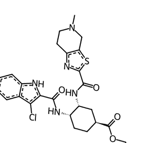 CCOC(=O)[C@H]1CC[C@H](NC(=O)c2[nH]c3ccccc3c2Cl)[C@H](NC(=O)c2nc3c(s2)CN(C)CC3)C1